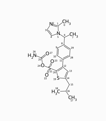 Cc1nccn1C(C)c1ccc(-c2cc(CC(C)C)sc2S(=O)(=O)OC(N)=O)cc1